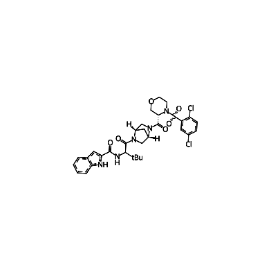 CC(C)(C)C(NC(=O)c1cc2ccccc2[nH]1)C(=O)N1C[C@@H]2C[C@H]1CN2C(=O)[C@@H]1COCCN1S(=O)(=O)c1cc(Cl)ccc1Cl